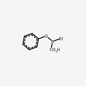 CCN(Oc1ccccc1)C(=O)O